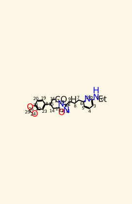 CCNc1cccc(CCCc2noc(CC(CC(=O)O)c3ccc4c(c3)OCO4)n2)n1